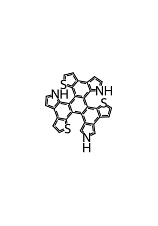 c1cc2c3ccsc3c3c(c2[nH]1)c1c2sccc2c2c[nH]cc2c1c1c2sccc2c2cc[nH]c2c13